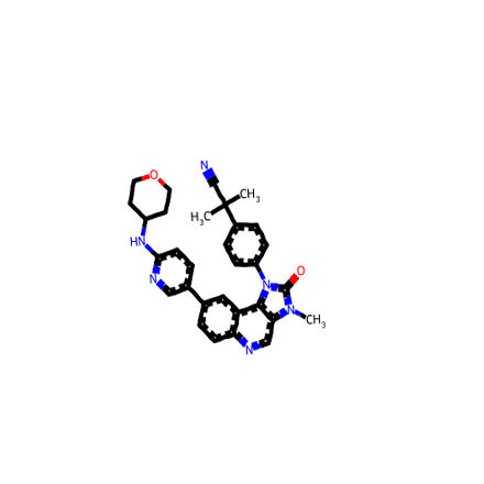 Cn1c(=O)n(-c2ccc(C(C)(C)C#N)cc2)c2c3cc(-c4ccc(NC5CCOCC5)nc4)ccc3ncc21